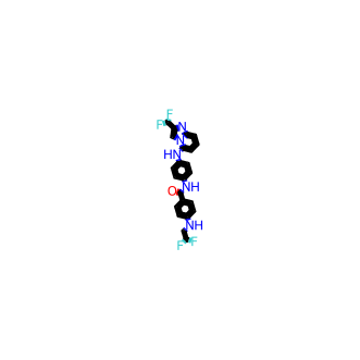 O=C(Nc1ccc(Nc2cccc3nc(C(F)F)cn23)cc1)c1ccc(NCC(F)F)cc1